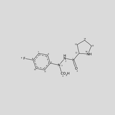 O=C(NN(C(=O)O)c1ccc(F)cc1)C1CCCN1